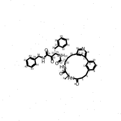 C[C@@H]1NC(=O)CCc2cccc(c2)-c2cncc(c2)CC[C@@H](C(=O)N[C@@H](Cc2ccccc2)C(=O)C(=O)NCc2ccccc2)NC1=O